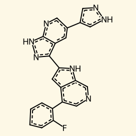 Fc1ccccc1-c1cncc2[nH]c(-c3n[nH]c4ncc(-c5cn[nH]c5)cc34)cc12